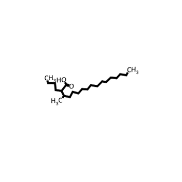 CCCCCCCCCCCCCCC(C)C(CCCC)C(=O)O